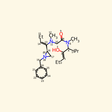 CCC=C(O)C(C(C)C)N(C)C(=O)CN(C)C(=CCC)[C@H]1CN1Cc1ccccc1